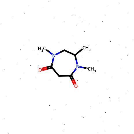 CC1CN(C)C(=O)CC(=O)N1C